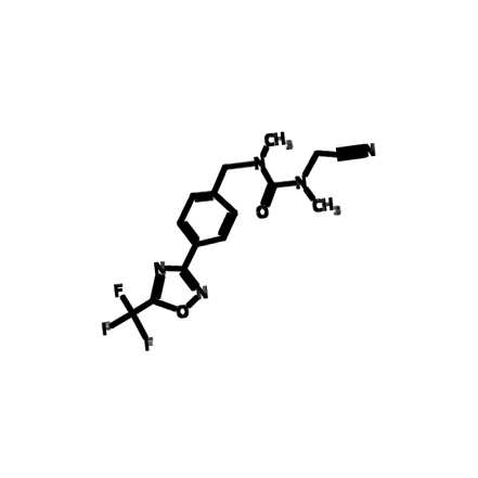 CN(CC#N)C(=O)N(C)Cc1ccc(-c2noc(C(F)(F)F)n2)cc1